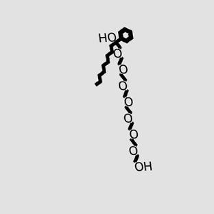 CCCCCCCCCC(O)(COCCOCCOCCOCCOCCOCCOCCO)c1ccccc1